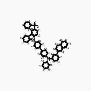 CC1(C)c2ccccc2-c2c1ccc1c2c2ccccc2n1-c1ccc(-c2ccc(N(c3ccccc3)c3cccc(-c4ccc5ccccc5c4)c3)cc2)cc1